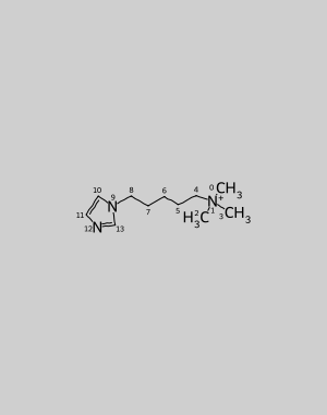 C[N+](C)(C)CCCCCn1ccnc1